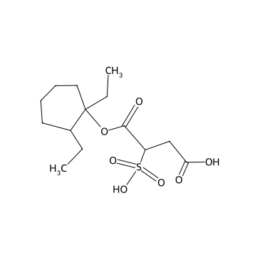 CCC1CCCCC1(CC)OC(=O)C(CC(=O)O)S(=O)(=O)O